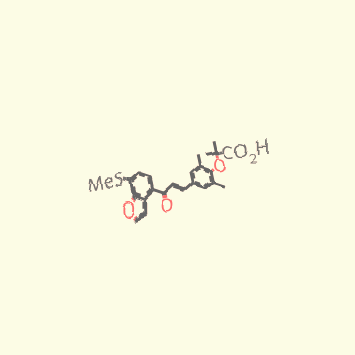 CSc1ccc(C(=O)C=Cc2cc(C)c(OC(C)(C)C(=O)O)c(C)c2)c2ccoc12